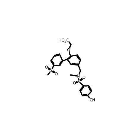 CN(Cc1ccc(OCC(=O)O)c(-c2cccc(S(C)(=O)=O)c2)c1)S(=O)(=O)c1ccc(C#N)cc1